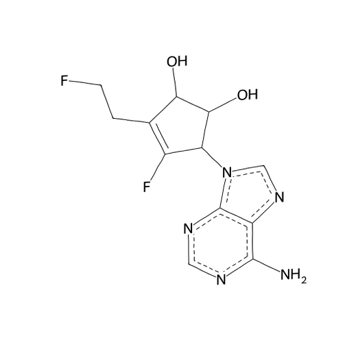 Nc1ncnc2c1ncn2C1C(F)=C(CCF)C(O)C1O